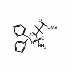 COC(=O)C(C)(C)CS(N)(=O)=N[Si](c1ccccc1)(c1ccccc1)C(C)(C)C